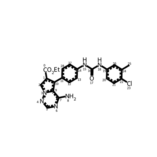 CCOC(=O)c1cn2ncnc(N)c2c1-c1ccc(NC(=O)Nc2ccc(Cl)c(C)c2)cc1